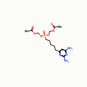 CC(C)(C)C(=O)OCOP(=O)(CCCCCc1cc(N)nc(N)n1)OCOC(=O)C(C)(C)C